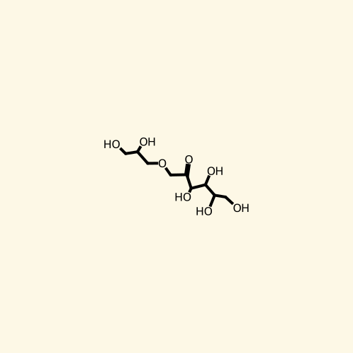 O=C(COCC(O)CO)C(O)C(O)C(O)CO